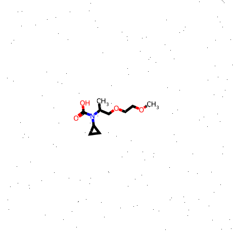 COCCOCC(C)N(C(=O)O)C1CC1